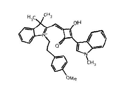 COc1ccc(CC[N+]2=C(/C=C3\C(=O)C(c4cn(C)c5ccccc45)=C3O)C(C)(C)c3ccccc32)cc1